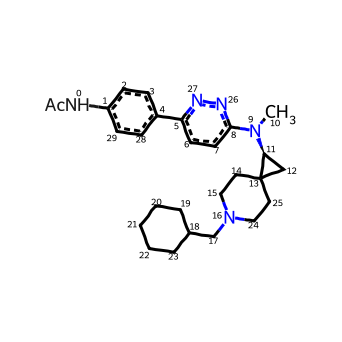 CC(=O)Nc1ccc(-c2ccc(N(C)[C@H]3CC34CCN(CC3CCCCC3)CC4)nn2)cc1